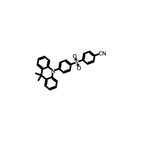 CC1(C)c2ccccc2N(c2ccc(S(=O)(=O)c3ccc(C#N)cc3)cc2)c2ccccc21